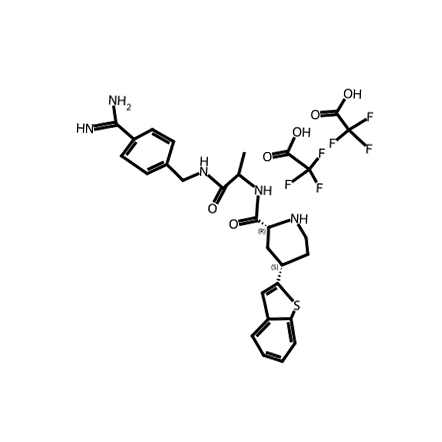 CC(NC(=O)[C@H]1C[C@@H](c2cc3ccccc3s2)CCN1)C(=O)NCc1ccc(C(=N)N)cc1.O=C(O)C(F)(F)F.O=C(O)C(F)(F)F